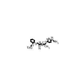 CCOCOc1ccccc1OCC(O)CNC(C)(C)COc1ccc(NN)nn1